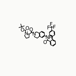 CC(C)(C)OC(=O)N1CCCC1C(=O)N1CCc2cc(NC(=O)c3ccccc3-c3ccc(C(F)(F)F)cc3)ccc2C1